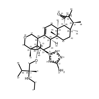 CCN[C@@](C)(CO[C@H]1[C@H](n2nnc(N)n2)C[C@@]23COC[C@]1(C)[C@@H]2CC[C@H]1C3=CC[C@@]2(C)[C@H](C(=O)O)[C@@](C)([C@H](C)C(C)C)CC[C@]12C)C(C)C